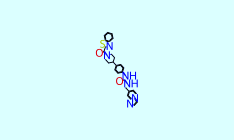 O=C(NCc1ccn2ccnc2c1)Nc1ccc(C2CCN(C(=O)c3nc4ccccc4s3)CC2)cc1